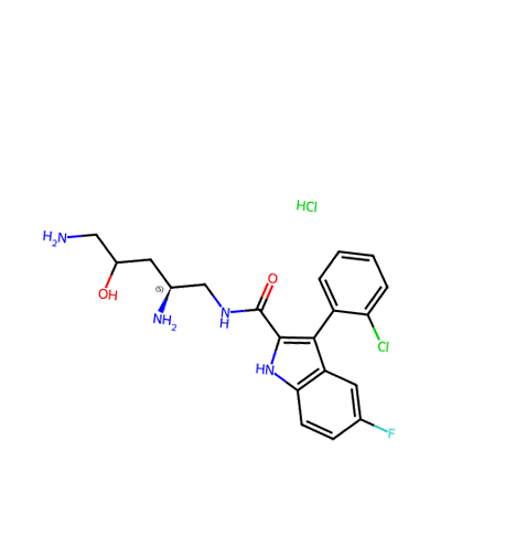 Cl.NCC(O)C[C@H](N)CNC(=O)c1[nH]c2ccc(F)cc2c1-c1ccccc1Cl